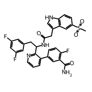 CS(=O)(=O)c1ccc2[nH]cc(CC(=O)NC(Cc3cc(F)cc(F)c3)c3ncccc3-c3ccc(F)c(C(N)=O)c3)c2c1